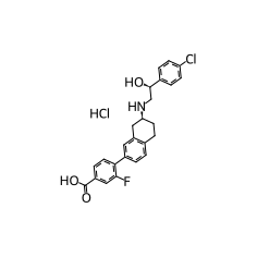 Cl.O=C(O)c1ccc(-c2ccc3c(c2)C[C@@H](NC[C@@H](O)c2ccc(Cl)cc2)CC3)c(F)c1